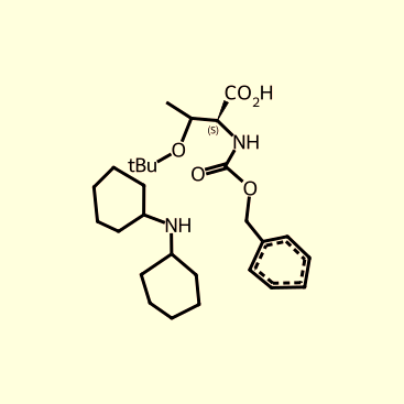 C1CCC(NC2CCCCC2)CC1.CC(OC(C)(C)C)[C@H](NC(=O)OCc1ccccc1)C(=O)O